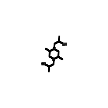 CC(O)CN1CC(C)N(CC(C)O)CC1C